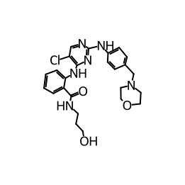 O=C(NCCCO)c1ccccc1Nc1nc(Nc2ccc(CN3CCOCC3)cc2)ncc1Cl